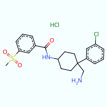 CS(=O)(=O)c1cccc(C(=O)NC2CCC(CN)(c3cccc(Cl)c3)CC2)c1.Cl